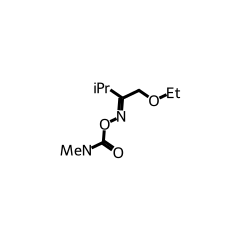 CCOCC(=NOC(=O)NC)C(C)C